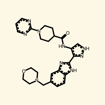 O=C(Nc1c[nH]nc1-c1nc2cc(CN3CCOCC3)ccc2[nH]1)C1CCN(c2ncccn2)CC1